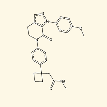 CNC(=O)CC1(c2ccc(N3CCc4cnn(-c5ccc(OC)cc5)c4C3=O)cc2)CCC1